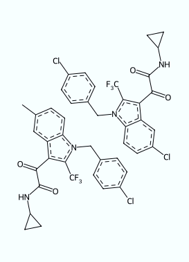 Cc1ccc2c(c1)c(C(=O)C(=O)NC1CC1)c(C(F)(F)F)n2Cc1ccc(Cl)cc1.O=C(NC1CC1)C(=O)c1c(C(F)(F)F)n(Cc2ccc(Cl)cc2)c2ccc(Cl)cc12